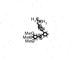 COc1cc(C(=O)Nc2ccccc2-c2cn3cc(CN(C)C)sc3n2)cc(OC)c1OC